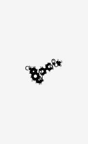 CC(C)(C)OC(=O)N1CCC(C2CCN(C3c4ccc(Cl)cc4CCc4cccnc43)CC2)CC1